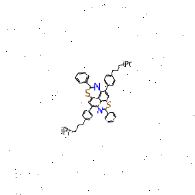 CC(C)CCCc1ccc(-c2cc3c4c(c(-c5ccc(CCCC(C)C)cc5)cc5c4c2N=C(c2ccccc2)S5)N=C(c2ccccc2)S3)cc1